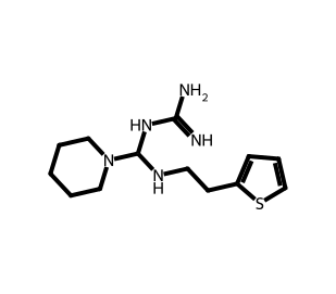 N=C(N)NC(NCCc1cccs1)N1CCCCC1